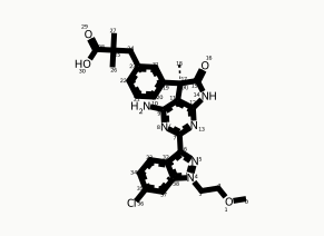 COCCn1nc(-c2nc(N)c3c(n2)NC(=O)[C@]3(C)c2cccc(CC(C)(C)C(=O)O)c2)c2ccc(Cl)cc21